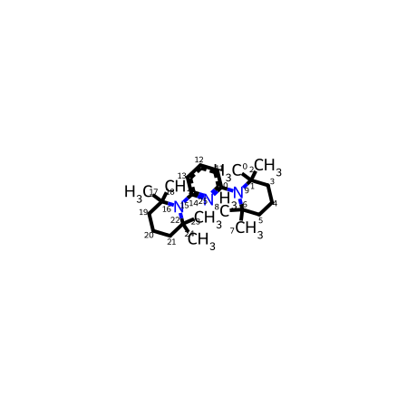 CC1(C)CCCC(C)(C)N1c1cccc(N2C(C)(C)CCCC2(C)C)n1